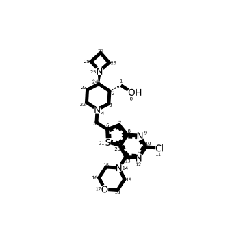 OC[C@@H]1CN(Cc2cc3nc(Cl)nc(N4CCOCC4)c3s2)CC[C@H]1N1CCC1